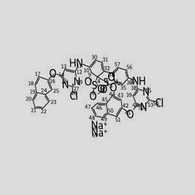 O=S(=O)([O-])C1(S(=O)(=O)[O-])CC(Nc2cc(Oc3ccc4ccccc4c3)nc(Cl)n2)=CC=C1c1ccc(Nc2cc(Oc3ccc4ccccc4c3)nc(Cl)n2)cc1.[Na+].[Na+]